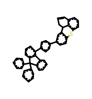 C1=Cc2cccc3c2C(C1)c1cc(-c2ccc(-c4cccc5c4-c4ccccc4C5(c4ccccc4)c4ccccc4)cc2)ccc1S3